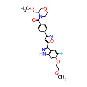 COCCOc1cc2[nH]nc(-c3cc(-c4ccc(C(=O)N5CCOC[C@H]5COC)cc4)no3)c2cc1F